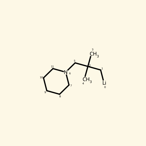 [Li][CH2]C(C)(C)CN1CCCCC1